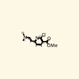 COC(=O)c1ccc(/C=C/N(C)C)nc1Cl